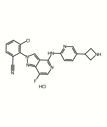 Cl.N#Cc1cccc(Cl)c1-n1cc2c(Nc3ccc(C4CNC4)cn3)ncc(F)c2n1